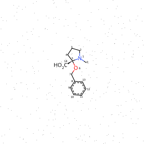 CN1CCC[C@]1(OCc1ccccc1)C(=O)O